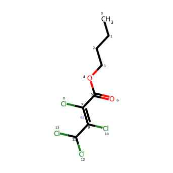 CCCCOC(=O)/C(Cl)=C(\Cl)C(Cl)Cl